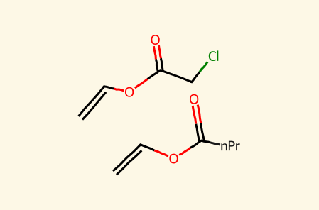 C=COC(=O)CCC.C=COC(=O)CCl